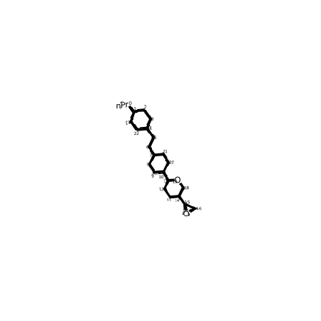 CCCC1CCC(CCC2CCC(C3CCC(C4CO4)CO3)CC2)CC1